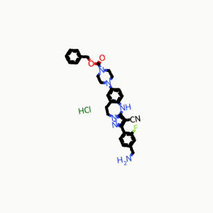 Cl.N#Cc1c(-c2ccc(CN)cc2F)nn2c1Nc1ccc(N3CCN(C(=O)OCc4ccccc4)CC3)cc1CC2